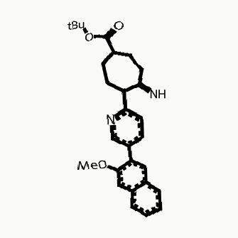 COc1cc2ccccc2cc1-c1ccc(C2CCC(C(=O)OC(C)(C)C)CCC2=N)nc1